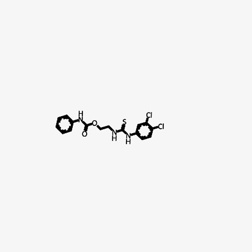 O=C(Nc1ccccc1)OCCNC(=S)Nc1ccc(Cl)c(Cl)c1